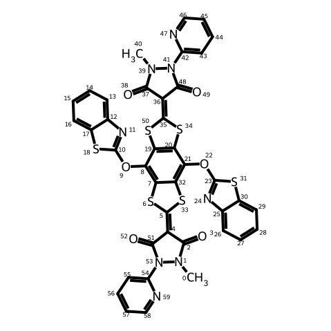 CN1C(=O)C(=C2Sc3c(Oc4nc5ccccc5s4)c4c(c(Oc5nc6ccccc6s5)c3S2)SC(=C2C(=O)N(C)N(c3ccccn3)C2=O)S4)C(=O)N1c1ccccn1